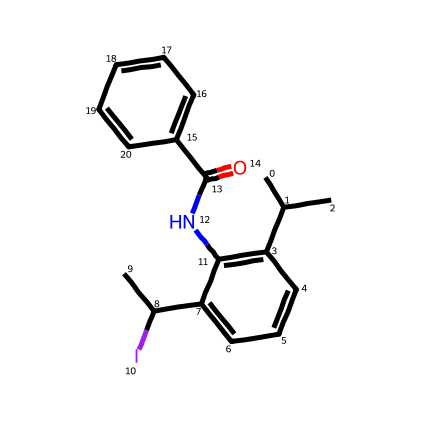 CC(C)c1cccc(C(C)I)c1NC(=O)c1ccccc1